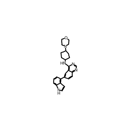 c1cc(-c2ccc3ncnc(NC4CCC(N5CCOCC5)CC4)c3c2)c2cc[nH]c2c1